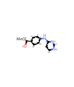 COC(=O)c1ccc(Nc2ccncn2)cc1